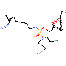 CC(N)CCCCNP(=O)(OCc1ccc([N+](=O)[O-])o1)N(CCCl)CCCl